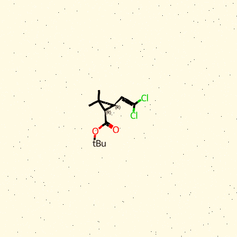 CC(C)(C)OC(=O)[C@@H]1[C@H](C=C(Cl)Cl)C1(C)C